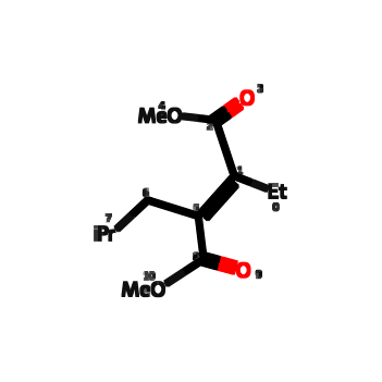 CCC(C(=O)OC)=C(CC(C)C)C(=O)OC